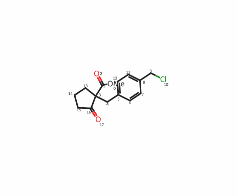 COC(=O)C1(Cc2ccc(CCl)cc2)CCCC1=O